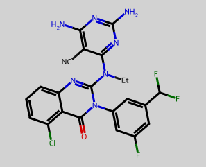 CCN(c1nc(N)nc(N)c1C#N)c1nc2cccc(Cl)c2c(=O)n1-c1cc(F)cc(C(F)F)c1